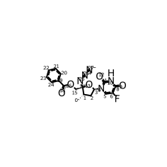 C[C@H]1C[C@H](n2cc(F)c(=O)[nH]c2=O)O[C@@]1(COC(=O)c1ccccc1)N=[N+]=[N-]